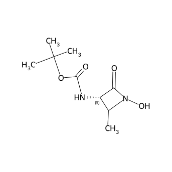 CC1[C@H](NC(=O)OC(C)(C)C)C(=O)N1O